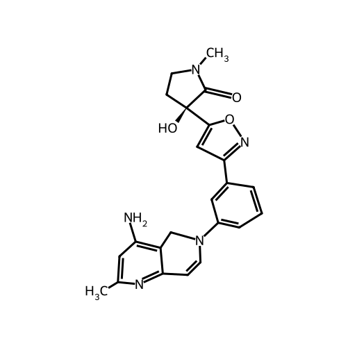 Cc1cc(N)c2c(n1)C=CN(c1cccc(-c3cc([C@]4(O)CCN(C)C4=O)on3)c1)C2